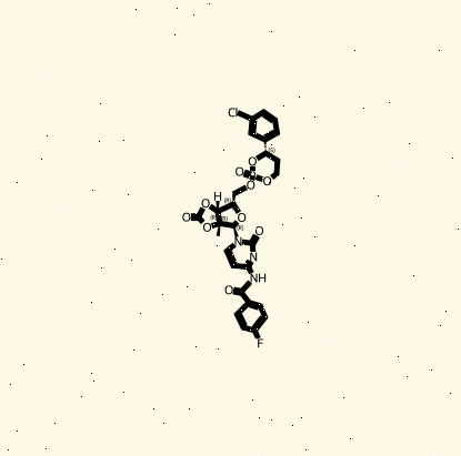 C[C@@]12OC(=O)O[C@@H]1[C@@H](COP1(=O)OCC[C@@H](c3cccc(Cl)c3)O1)O[C@H]2n1ccc(NC(=O)c2ccc(F)cc2)nc1=O